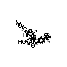 CCCOCCOCC(=O)NC(C(=O)N1C[C@H](O)C[C@H]1C(=O)NCc1ccc(-c2scnc2C)cc1)C(C)(C)C